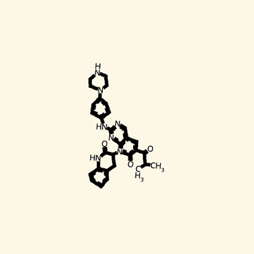 CC(C)C(=O)c1cc2cnc(Nc3ccc(N4CCNCC4)cc3)nc2n(C2Cc3ccccc3NC2=O)c1=O